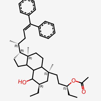 CC[C@@H](CC[C@@]1(C)C[C@@H](CC)C(O)C2C1CC[C@@]1(C)C2CC[C@@H]1[C@H](C)CC=C(c1ccccc1)c1ccccc1)OC(C)=O